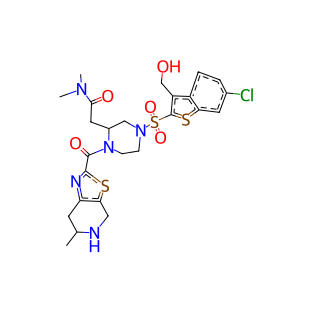 CC1Cc2nc(C(=O)N3CCN(S(=O)(=O)c4sc5cc(Cl)ccc5c4CO)CC3CC(=O)N(C)C)sc2CN1